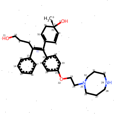 C[C@@]1(O)C=CC(/C(=C(\CCCO)c2ccccc2)c2ccc(OCCN3CCCNCCC3)cc2)=CC1